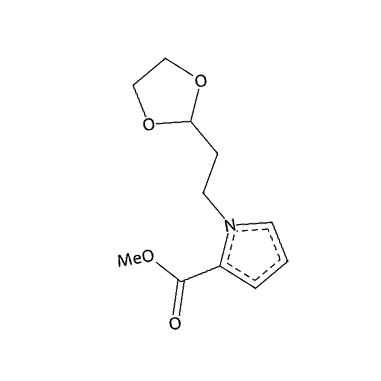 COC(=O)c1cccn1CCC1OCCO1